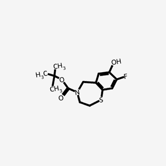 CC(C)(C)OC(=O)N1CCSc2cc(F)c(O)cc2C1